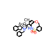 C.CC(=O)O[C@@H](CN(Cc1ccccc1)C1(C)Cc2ccccc2C1)c1ccc2cc1NS(=O)(=O)c1cccc(c1)CO2